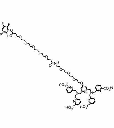 O=C(CCOCCOCCOCCOCCOCCC(=O)Oc1c(F)c(F)cc(F)c1F)NCCOCCOCCOCCOc1cc(CN(Cc2cccc(C(=O)O)n2)Cc2cccc(C(=O)O)n2)nc(CN(Cc2cccc(C(=O)O)n2)Cc2cccc(C(=O)O)n2)c1